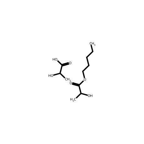 CC(O)C(=O)O.CCCCCOC(=O)C(C)O